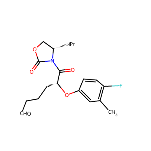 Cc1cc(O[C@H](CCCC=O)C(=O)N2C(=O)OC[C@@H]2C(C)C)ccc1F